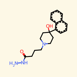 NNC(=O)CCCN1CCC(O)(c2cccc3ccccc23)CC1